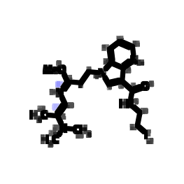 CO/C(CCn1cc(C(=O)NCCF)c2ncccc21)=N/C=C(\C)N(C)C